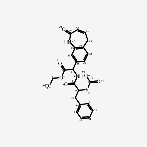 CCOC(=O)C(NC(=O)C(Cc1ccccc1)SC(C)=O)c1ccc2c(c1)NC(=O)C=CC2